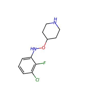 Fc1c(Cl)cccc1NOC1CCNCC1